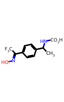 CC(NC(=O)O)c1ccc(C(=NO)C(F)(F)F)cc1